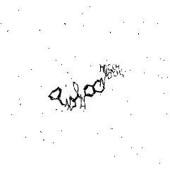 CC(C)(C)OC(=O)N1CCc2cc(NC(=O)c3cnn(Cc4ccccc4)c3)ccc2C1